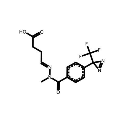 CN(N=CCCC(=O)O)C(=O)c1ccc(C2(C(F)(F)F)N=N2)cc1